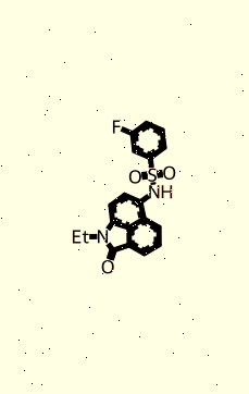 CCN1C(=O)c2cccc3c(NS(=O)(=O)c4cccc(F)c4)ccc1c23